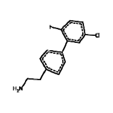 NCCc1ccc(-c2cc(Cl)ccc2F)cc1